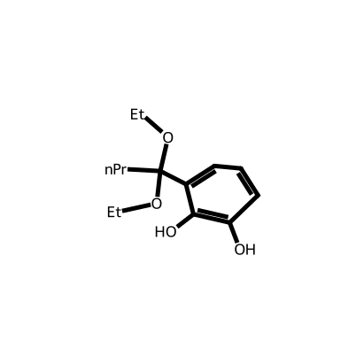 CCCC(OCC)(OCC)c1cccc(O)c1O